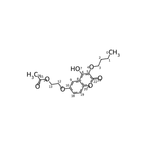 CCCCOc1c(O)c2cc(OCCOC(C)=O)ccc2oc1=O